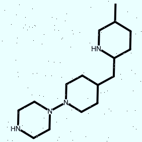 CC1CCC(CC2CCN(N3CCNCC3)CC2)NC1